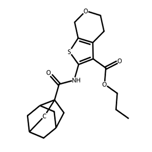 CCCOC(=O)c1c(NC(=O)C23CC4CC(CC2C4)C3)sc2c1CCOC2